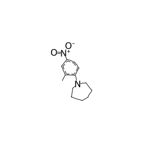 Cc1cc([N+](=O)[O-])ccc1N1CCCCCC1